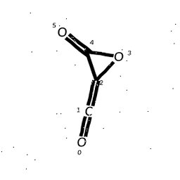 O=C=C1OC1=O